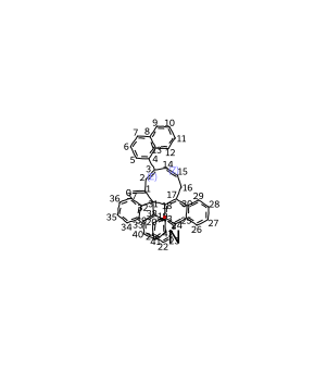 C=C1/C=C(c2cccc3ccccc23)\C=C/Cc2c(c3cccnc3c3ccccc23)C1(c1ccccc1)c1ccccc1